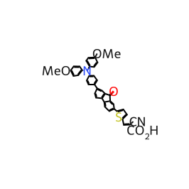 COc1ccc(N(c2ccc(OC)cc2)c2ccc(-c3ccc4c(c3)C(=O)c3cc(-c5ccc(/C=C(\C#N)C(=O)O)s5)ccc3-4)cc2)cc1